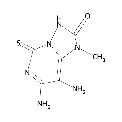 Cn1c(=O)[nH]n2c(=S)nc(N)c(N)c12